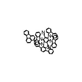 N#Cc1c(-n2c3ccccc3c3ccccc32)c(-n2c3ccccc3c3ccccc32)c(C#N)c(-n2c3cc(-c4ccc5c6c(cccc46)-c4ccccc4-5)ccc3c3ccc4c5ccccc5sc4c32)c1-n1c2ccccc2c2ccccc21